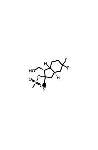 CS(=O)(=O)OC1(C#N)C[C@@H]2CC(F)(F)CC[C@H]2[C@@H]1CO